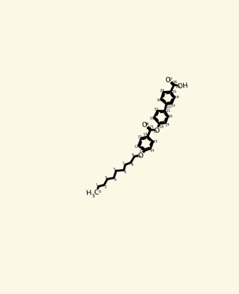 CCCCCCCCCCOc1ccc(C(=O)Oc2ccc(-c3ccc(C(=O)O)cc3)cc2)cc1